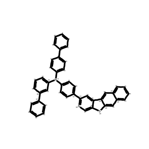 c1ccc(-c2ccc(N(c3ccc(-c4cc5c(cn4)sc4cc6ccccc6cc45)cc3)c3cccc(-c4ccccc4)c3)cc2)cc1